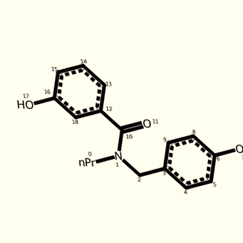 CCCN(Cc1ccc(O)cc1)C(=O)c1cccc(O)c1